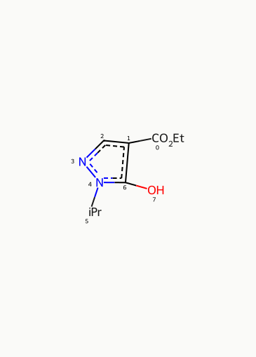 CCOC(=O)c1cnn(C(C)C)c1O